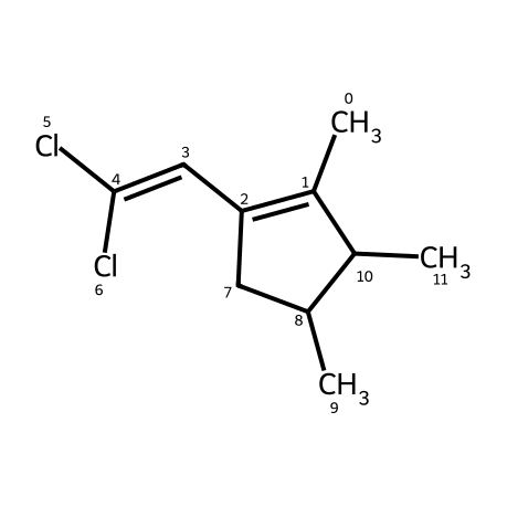 CC1=C(C=C(Cl)Cl)CC(C)C1C